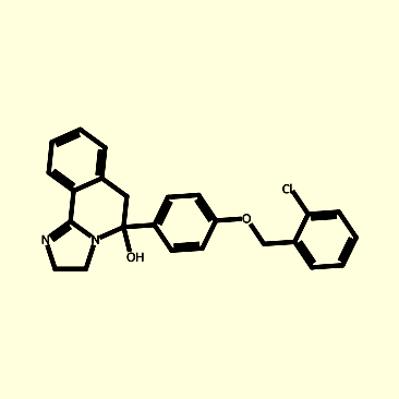 OC1(c2ccc(OCc3ccccc3Cl)cc2)Cc2ccccc2C2=NCCN21